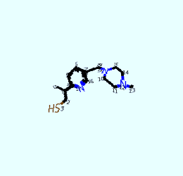 CC(CS)c1ccc(CN2CCN(C)CC2)cn1